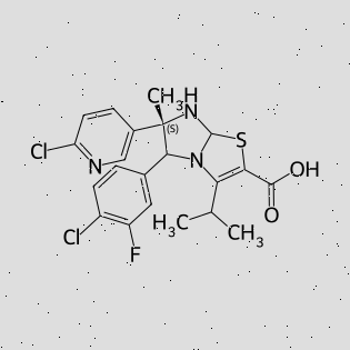 CC(C)C1=C(C(=O)O)SC2N[C@@](C)(c3ccc(Cl)nc3)C(c3ccc(Cl)c(F)c3)N12